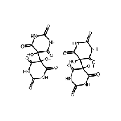 O=C1NC(=O)C(O)(C2(O)C(=O)NC(=O)NC2=O)C(=O)N1.O=C1NC(=O)C(O)(C2(O)C(=O)NC(=O)NC2=O)C(=O)N1